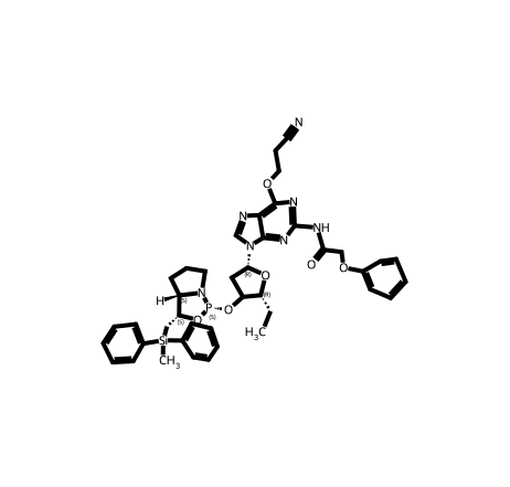 CC[C@H]1O[C@@H](n2cnc3c(OCCC#N)nc(NC(=O)COc4ccccc4)nc32)CC1O[P@]1O[C@H](C[Si](C)(c2ccccc2)c2ccccc2)[C@@H]2CCCN21